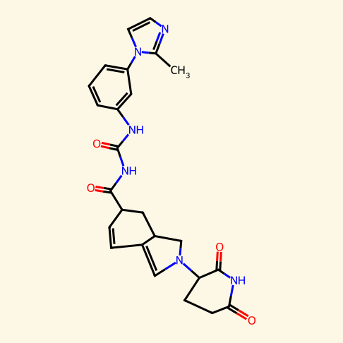 Cc1nccn1-c1cccc(NC(=O)NC(=O)C2C=CC3=CN(C4CCC(=O)NC4=O)CC3C2)c1